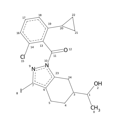 CC(O)C1CCc2c(I)nn(C(=O)c3c(Cl)cccc3C3CC3)c2C1